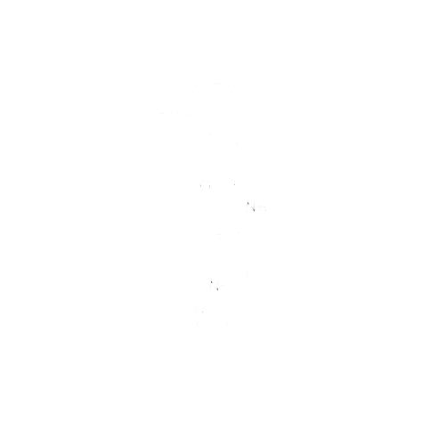 Cc1cccc(CC(=O)NC2=CCN(C(C)(C)C)C=C2)c1